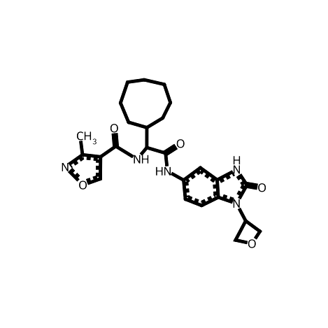 Cc1nocc1C(=O)NC(C(=O)Nc1ccc2c(c1)[nH]c(=O)n2C1COC1)C1CCCCCCC1